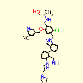 CC(CO)NCc1cc(Cl)c(Cn2ncc3c(-c4cccc(NCCCN5CCCC5)c4C=N)cccc32)cc1OCc1cncc(C#N)c1